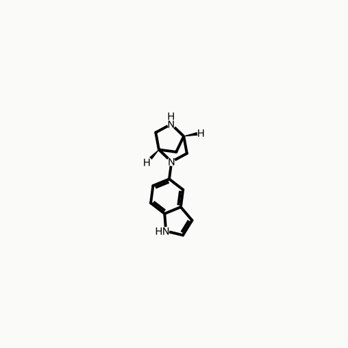 c1cc2cc(N3C[C@@H]4C[C@H]3CN4)ccc2[nH]1